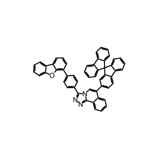 c1ccc2c(c1)-c1ccccc1C21c2ccccc2-c2ccc(-c3cn4c(-c5ccc(-c6cccc7c6oc6ccccc67)cc5)nnc4c4ccccc34)cc21